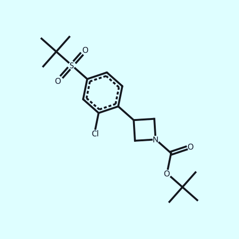 CC(C)(C)OC(=O)N1CC(c2ccc(S(=O)(=O)C(C)(C)C)cc2Cl)C1